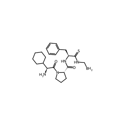 BCNC(=S)[C@H](Cc1ccccc1)NC(=O)[C@@H]1CCCN1C(=O)[C@@H](N)C1CCCCC1